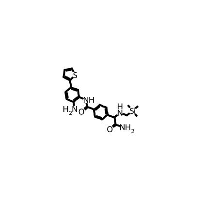 C[Si](C)(C)CNC(C(N)=O)c1ccc(C(=O)Nc2cc(-c3cccs3)ccc2N)cc1